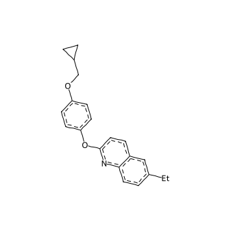 CCc1ccc2nc(Oc3ccc(OCC4CC4)cc3)ccc2c1